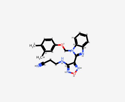 Cc1ccc(OCn2c(-c3nonc3NCCC#N)nc3ccccc32)cc1C